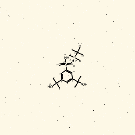 CC(C)(O)c1cc(C(C)(C)O)cc(S(N)(=O)=N[Si](C)(C)C(C)(C)C)c1